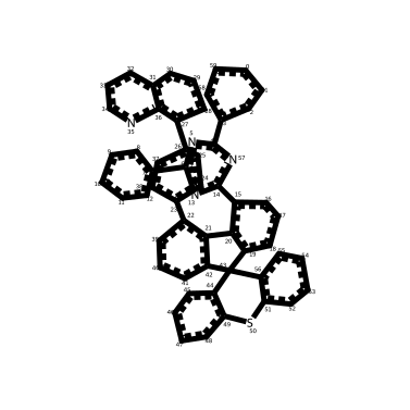 c1ccc(-c2nc(-c3ccccc3)nc(-c3cccc4c3-c3c(-c5ccc(-c6cccc7cccnc67)cc5)cccc3C43c4ccccc4Sc4ccccc43)n2)cc1